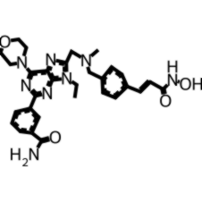 CCn1c(CN(C)Cc2ccc(/C=C/C(=O)NO)cc2)nc2c(N3CCOCC3)nc(-c3cccc(C(N)=O)c3)nc21